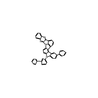 c1ccc(-c2cccc(-n3c4ccc(-c5ccccc5)cc4c4c5c6cccc7c8nc9ccccc9nc8n(c5ccc43)c76)c2)cc1